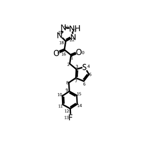 O=C(Cc1sccc1Cc1ccc(F)cc1)C(=O)c1nn[nH]n1